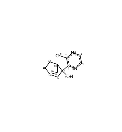 OC1(c2nccnc2Cl)CN2CCC1C2